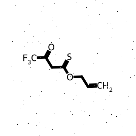 C=CCOC(=S)CC(=O)C(F)(F)F